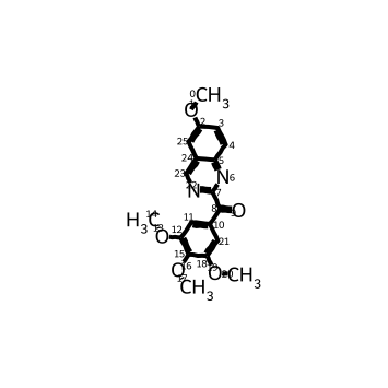 COc1ccc2nc(C(=O)c3cc(OC)c(OC)c(OC)c3)ncc2c1